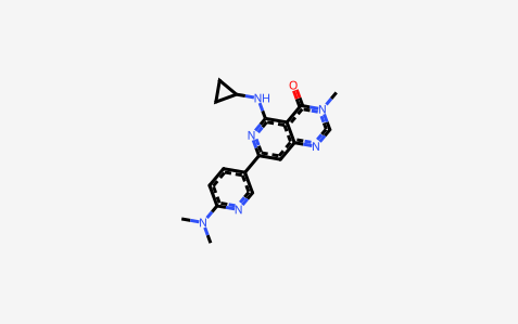 CN(C)c1ccc(-c2cc3ncn(C)c(=O)c3c(NC3CC3)n2)cn1